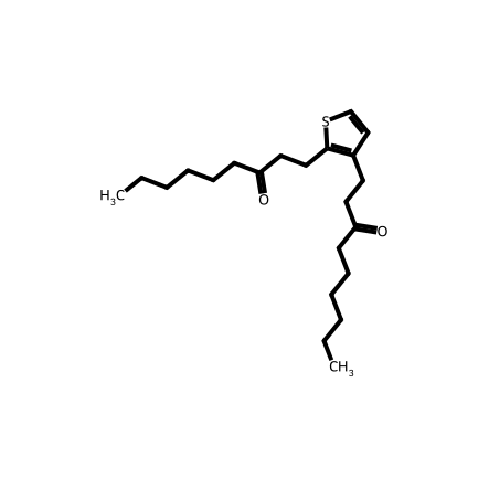 CCCCCCC(=O)CCc1ccsc1CCC(=O)CCCCCC